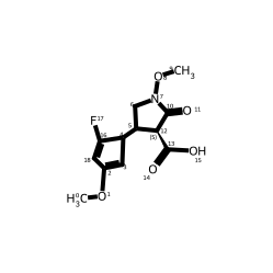 COC1=CC(C2CN(OC)C(=O)[C@H]2C(=O)O)C(F)=C1